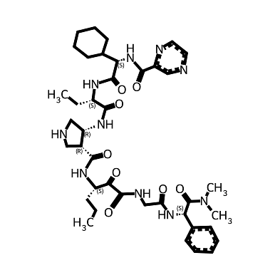 CCC[C@H](NC(=O)[C@@H]1CNC[C@@H]1NC(=O)[C@H](CC)NC(=O)[C@@H](NC(=O)c1cnccn1)C1CCCCC1)C(=O)C(=O)NCC(=O)N[C@H](C(=O)N(C)C)c1ccccc1